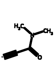 [C]#CC(=O)N(C)C